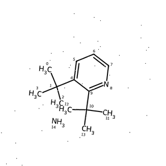 CC(C)(C)c1cccnc1C(C)(C)C.N